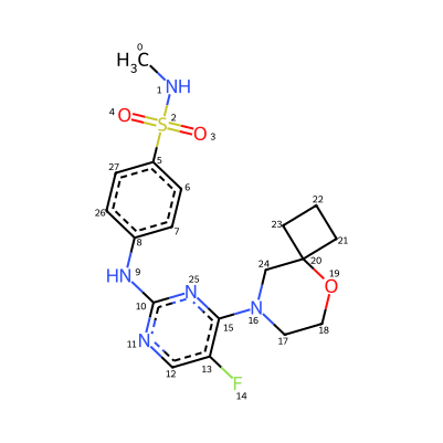 CNS(=O)(=O)c1ccc(Nc2ncc(F)c(N3CCOC4(CCC4)C3)n2)cc1